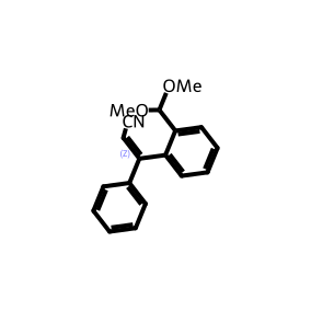 COC(OC)c1ccccc1/C(=C\C#N)c1ccccc1